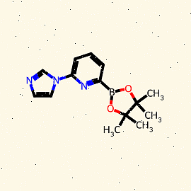 CC1(C)OB(c2cccc(-n3ccnc3)n2)OC1(C)C